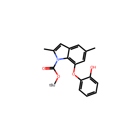 Cc1cc(Oc2ccccc2O)c2c(c1)cc(C)n2C(=O)OC(C)(C)C